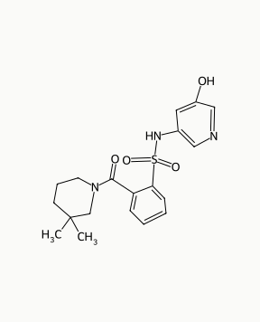 CC1(C)CCCN(C(=O)c2ccccc2S(=O)(=O)Nc2cncc(O)c2)C1